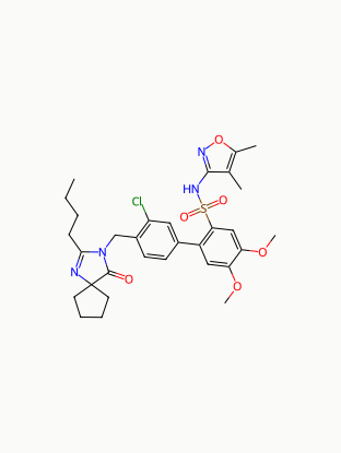 CCCCC1=NC2(CCCC2)C(=O)N1Cc1ccc(-c2cc(OC)c(OC)cc2S(=O)(=O)Nc2noc(C)c2C)cc1Cl